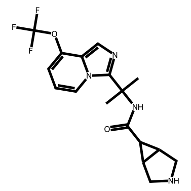 CC(C)(NC(=O)C1C2CNCC21)c1ncc2c(OC(F)(F)F)cccn12